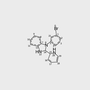 Brc1cccc(N2c3ccccc3NC2C2C=CC=CN2)c1